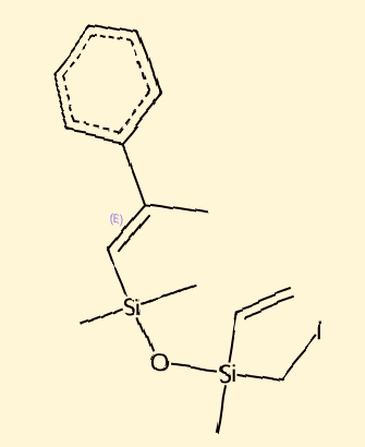 C=C[Si](C)(CI)O[Si](C)(C)/C=C(\C)c1ccccc1